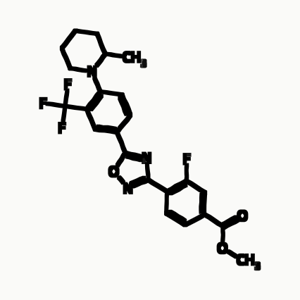 COC(=O)c1ccc(-c2noc(-c3ccc(N4CCCCC4C)c(C(F)(F)F)c3)n2)c(F)c1